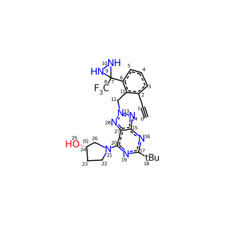 C#Cc1cccc(C2(C(F)(F)F)NN2)c1Cn1nc2nc(C(C)(C)C)nc(N3CC[C@H](O)C3)c2n1